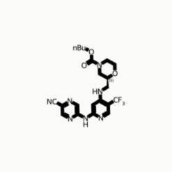 CCCCOC(=O)N1CCO[C@@H](CNc2cc(Nc3cnc(C#N)cn3)ncc2C(F)(F)F)C1